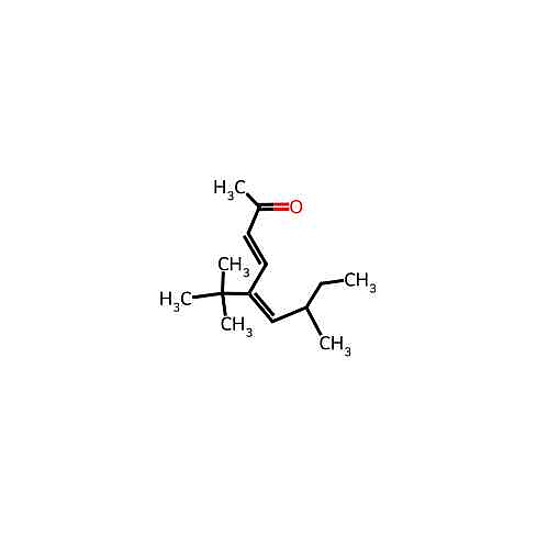 CCC(C)/C=C(\C=C\C(C)=O)C(C)(C)C